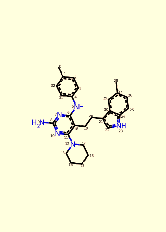 Cc1ccc(Nc2nc(N)nc(N3CCCCC3)c2CCc2c[nH]c3ccc(C)cc23)cc1